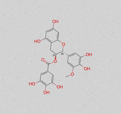 COc1cc([C@H]2Oc3cc(O)cc(O)c3C[C@@H]2OC(=O)c2cc(O)c(O)c(O)c2)cc(O)c1O